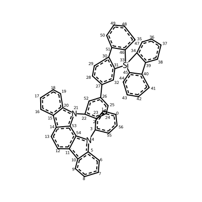 c1ccc(-n2c3ccccc3c3ccc4c5ccccc5n(-c5cccc(-c6ccc7c(c6)[Si]6(c8ccccc8-c8ccccc86)c6ccccc6-7)c5)c4c32)cc1